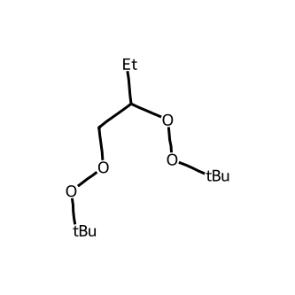 CCC(COOC(C)(C)C)OOC(C)(C)C